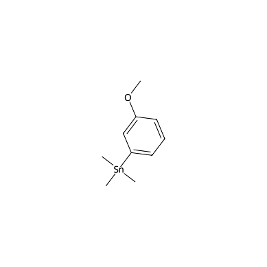 COc1ccc[c]([Sn]([CH3])([CH3])[CH3])c1